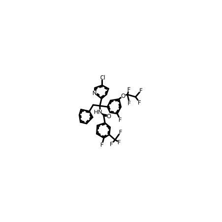 O=C(NC(Cc1ccccc1)(c1cc(F)cc(OC(F)(F)C(F)F)c1)c1ccc(Cl)cn1)c1ccc(F)c(C(F)(F)F)c1